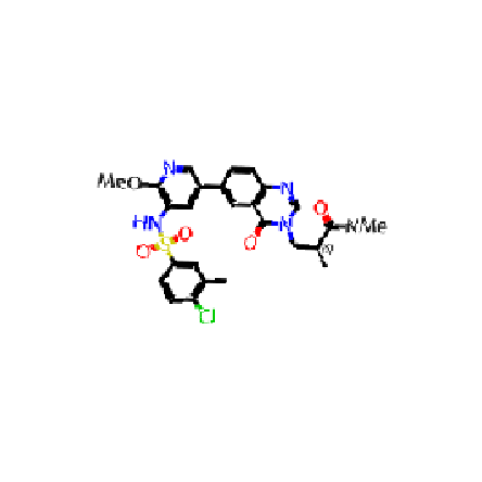 CNC(=O)[C@@H](C)Cn1cnc2ccc(-c3cnc(OC)c(NS(=O)(=O)c4ccc(Cl)c(C)c4)c3)cc2c1=O